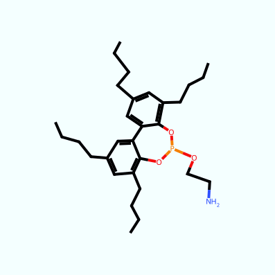 CCCCc1cc(CCCC)c2op(OCCN)oc3c(CCCC)cc(CCCC)cc3c2c1